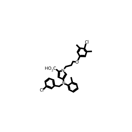 Cc1ccccc1N(Cc1cccc(Cl)c1)c1cc(C(=O)O)n(CCCOc2cc(C)c(Cl)c(C)c2)c1